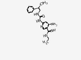 CCNC(=N)c1cnc(NC(=O)NCC(C)c2ccccc2)cc1N